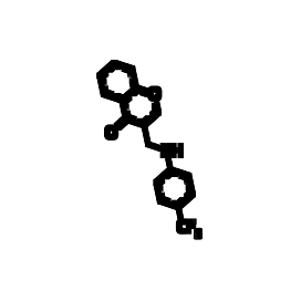 O=c1c(CNc2ccc(C(F)(F)F)cc2)coc2ccccc12